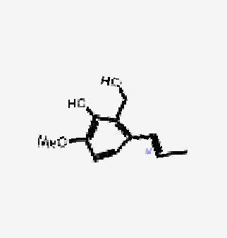 C/C=C/c1ccc(OC)c(O)c1CO